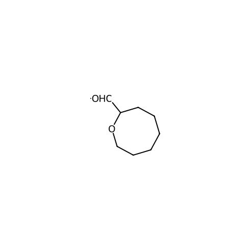 O=[C]C1CCCCCCO1